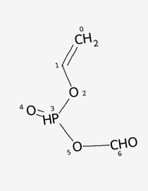 C=CO[PH](=O)OC=O